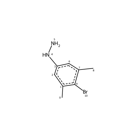 Cc1cc(NN)cc(C)c1Br